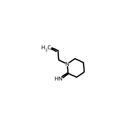 C=CCN1CCCCC1=N